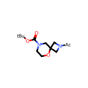 CC(=O)N1CC2(C1)CN(C(=O)OC(C)(C)C)CCO2